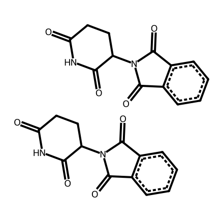 O=C1CCC(N2C(=O)c3ccccc3C2=O)C(=O)N1.O=C1CCC(N2C(=O)c3ccccc3C2=O)C(=O)N1